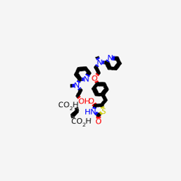 CN(CCO)c1ccccn1.CN(CCOc1ccc(CC2SC(=O)NC2=O)cc1)c1ccccn1.O=C(O)C=CC(=O)O